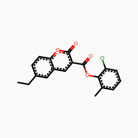 CCc1ccc2oc(=O)c(C(=O)Oc3c(C)cccc3Cl)cc2c1